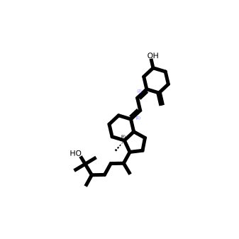 C=C1CCC(O)C/C1=C/C=C1\CCC[C@@]2(C)C1CCC2C(C)CCC(C)C(C)(C)O